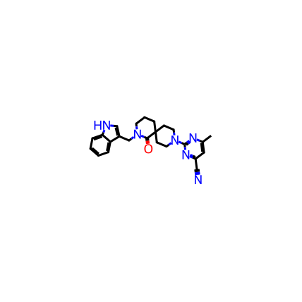 Cc1cc(C#N)nc(N2CCC3(CCCN(Cc4c[nH]c5ccccc45)C3=O)CC2)n1